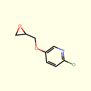 Clc1ccc(OCC2CO2)cn1